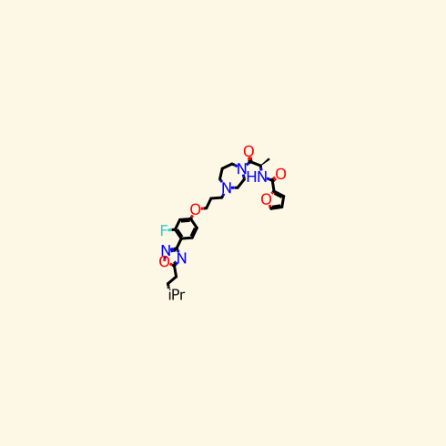 CC(C)CCc1nc(-c2ccc(OCCCN3CCCN(C(=O)[C@@H](C)NC(=O)c4ccco4)CC3)cc2F)no1